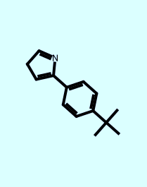 CC(C)(C)c1ccc(C2=CCC=N2)cc1